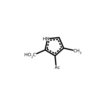 CC(=O)c1c(C)c[nH]c1C(=O)O